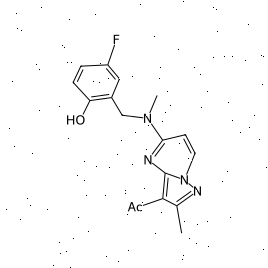 CC(=O)c1c(C)nn2ccc(N(C)Cc3cc(F)ccc3O)nc12